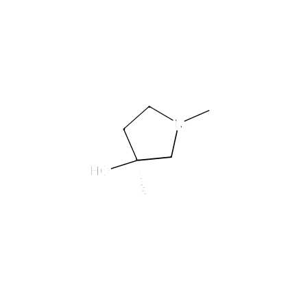 CN1CC[C@](C)(O)C1